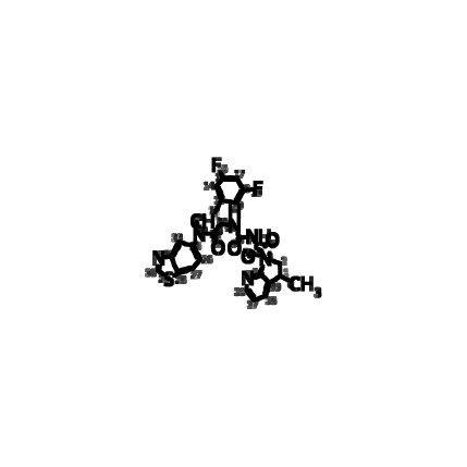 CC1CN(S(=O)(=O)NC(=O)N[C@@H](Cc2cc(F)cc(F)c2)C(=O)N(C)c2ccc3scnc3c2)c2ncccc21